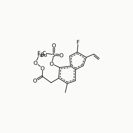 C=Cc1cc2cc(C)c(CC(=O)OOCCCC)c(OS(=O)(=O)C(F)(F)F)c2cc1F